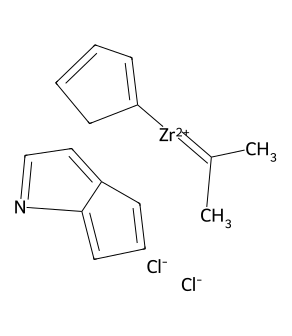 C1=CC2=CC=NC2=C1.C[C](C)=[Zr+2][C]1=CC=CC1.[Cl-].[Cl-]